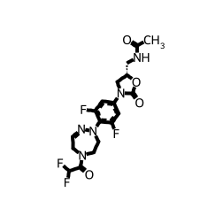 CC(=O)NC[C@H]1CN(c2cc(F)c(N3CCN(C(=O)C(F)F)CC=N3)c(F)c2)C(=O)O1